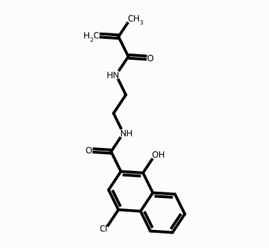 C=C(C)C(=O)NCCNC(=O)c1cc(Cl)c2ccccc2c1O